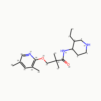 CCC1CNCCC1NC(=O)C(C)(C)COc1ncc(C)cc1C